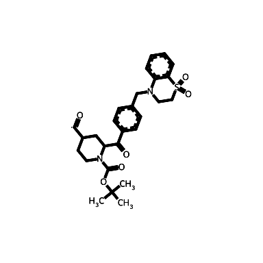 CC(C)(C)OC(=O)N1CCC([C]=O)CC1C(=O)c1ccc(CN2CCS(=O)(=O)c3ccccc32)cc1